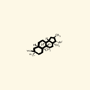 CC(=O)[C@H]1[C@H](C)C[C@H]2[C@@H]3CC[C@@H]4C[C@](C)(O)CC[C@]4(C)[C@H]3CC[C@@]21C